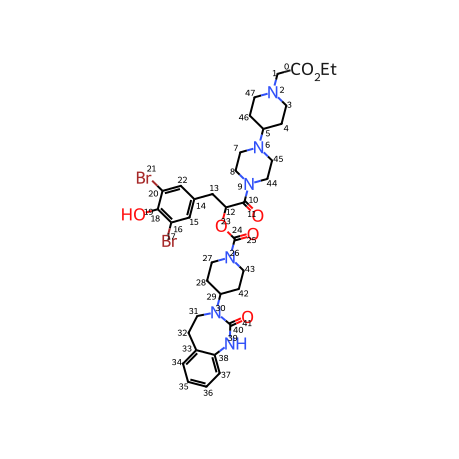 CCOC(=O)CN1CCC(N2CCN(C(=O)C(Cc3cc(Br)c(O)c(Br)c3)OC(=O)N3CCC(N4CCc5ccccc5NC4=O)CC3)CC2)CC1